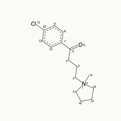 C[N+]1(CCCC(=O)c2ccc(Cl)cc2)CCCC1